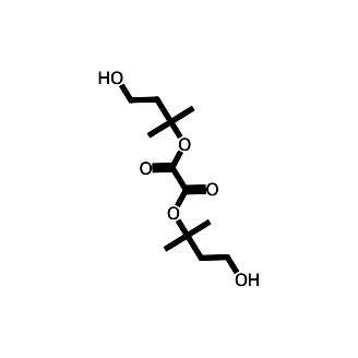 CC(C)(CCO)OC(=O)C(=O)OC(C)(C)CCO